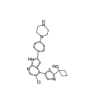 OC1(c2ncc(-c3c(Cl)cnc4[nH]c(-c5ccc(N6CCNCC6)cc5)cc34)s2)CCC1